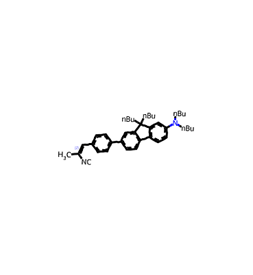 [C-]#[N+]/C(C)=C\c1ccc(-c2ccc3c(c2)C(CCCC)(CCCC)c2cc(N(CCCC)CCCC)ccc2-3)cc1